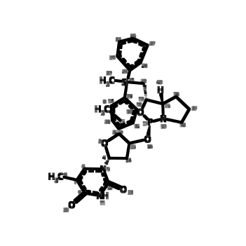 CC[C@H]1O[C@@H](n2cc(C)c(=O)[nH]c2=O)CC1O[P@@]1O[C@H](C[Si](C)(c2ccccc2)c2ccccc2)[C@@H]2CCCN21